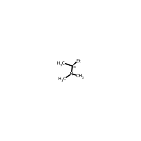 CC[C@H](C)N(C)C